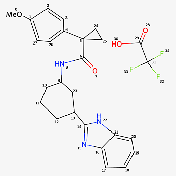 COc1ccc(C2(C(=O)NC3CCCC(c4nc5ccccc5[nH]4)C3)CC2)cc1.O=C(O)C(F)(F)F